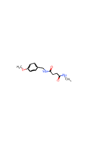 CNC(=O)CCC(=O)NCc1ccc(OC)cc1